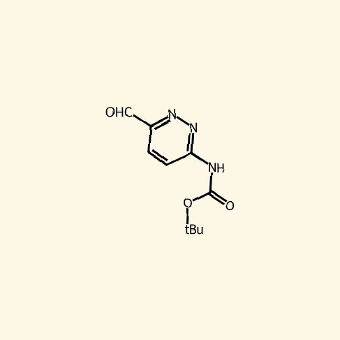 CC(C)(C)OC(=O)Nc1ccc(C=O)nn1